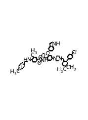 Cc1cc(S(=O)(=O)NC(=O)c2ccc(N3CCN(CC4=C(c5ccc(Cl)cc5)CC(C)(C)CC4)CC3)cc2Oc2ccc3[nH]ccc3c2)ccc1NCCN1CCN(C)CC1